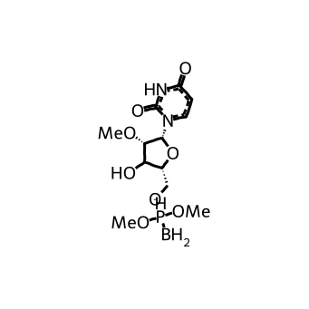 B[PH](OC)(OC)OC[C@H]1O[C@@H](n2ccc(=O)[nH]c2=O)[C@@H](OC)C1O